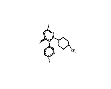 Cc1ccc(-n2c(C3CCC(C(F)(F)F)CC3)nc(C)cc2=O)cc1